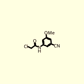 COc1cc(C#N)cc(NC(=O)CCl)c1